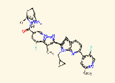 COc1cc(-c2ccc3cc(-c4nn5cc(C(=O)N6CC7CC[C@@H]6[C@@H]7N)cc(F)c5c4C)n(CC4CC4)c3n2)c(F)cn1